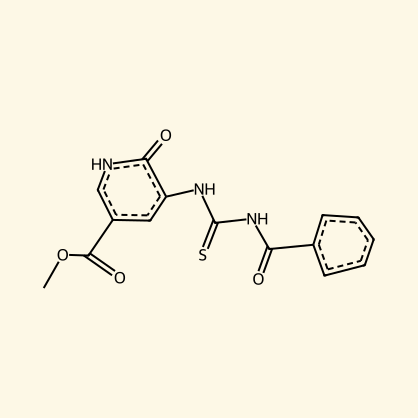 COC(=O)c1c[nH]c(=O)c(NC(=S)NC(=O)c2ccccc2)c1